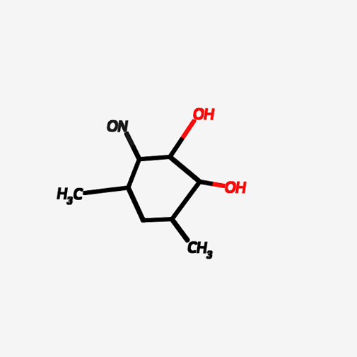 CC1CC(C)C(N=O)C(O)C1O